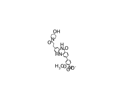 COc1cc(-c2ccc3c(c2)Nc2ccc(CCC(=O)N4CCC(O)CC4)cc2NC3=O)ccc1[N+](=O)[O-]